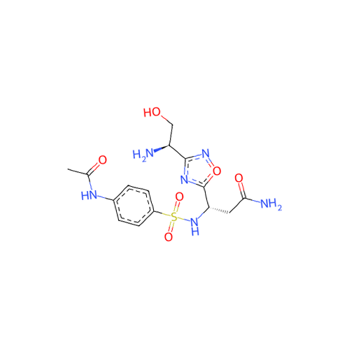 CC(=O)Nc1ccc(S(=O)(=O)N[C@@H](CC(N)=O)c2nc([C@@H](N)CO)no2)cc1